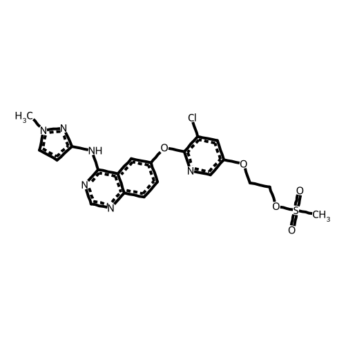 Cn1ccc(Nc2ncnc3ccc(Oc4ncc(OCCOS(C)(=O)=O)cc4Cl)cc23)n1